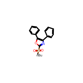 CCCCS(=O)(=O)c1nc(-c2ccccc2)c(-c2ccccc2)o1